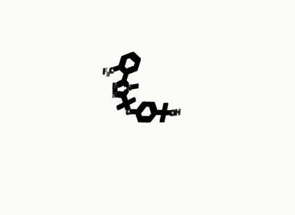 Cn1c(-c2ccccc2C(F)(F)F)nnc1C(C)(C)Oc1ccc(C(C)(C)O)cc1